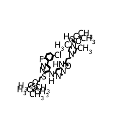 CC1CN(CCC(=O)Nc2cc(Nc3cc(-c4cc(Cl)ccc4F)nnc3SCCO[Si](C)(C)C(C)(C)C)ncn2)CC(C)N1C(=O)OC(C)(C)C